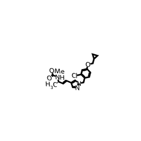 COC(=O)N[C@@H](C)/C=C/c1cnn(Cc2ccc(OCC3CC3)cc2Cl)c1